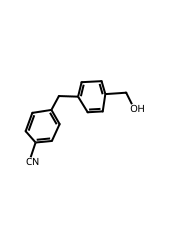 N#Cc1ccc(Cc2ccc(CO)cc2)cc1